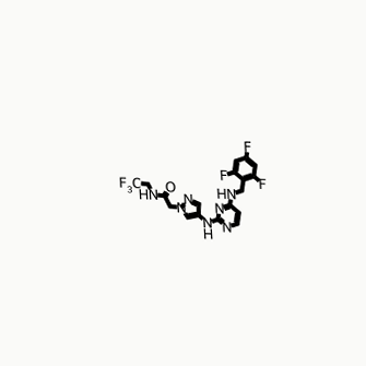 O=C(Cn1cc(Nc2nccc(NCc3c(F)cc(F)cc3F)n2)cn1)NCC(F)(F)F